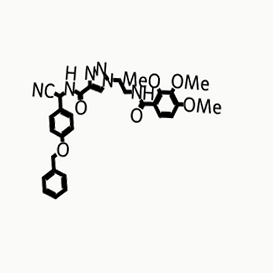 COc1ccc(C(=O)NCCn2cc(C(=O)NC(C#N)c3ccc(OCc4ccccc4)cc3)nn2)c(OC)c1OC